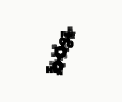 O=C(Oc1ccc(-c2cn[nH]c2)cc1)C(F)(F)F